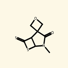 CN1C(=O)C2(COC2)C2C(=S)SC21